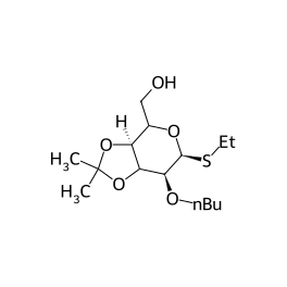 CCCCO[C@H]1C2OC(C)(C)O[C@H]2C(CO)O[C@H]1SCC